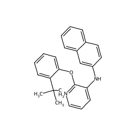 CC(C)(C)c1ccccc1Oc1ncccc1Nc1ccc2ccccc2c1